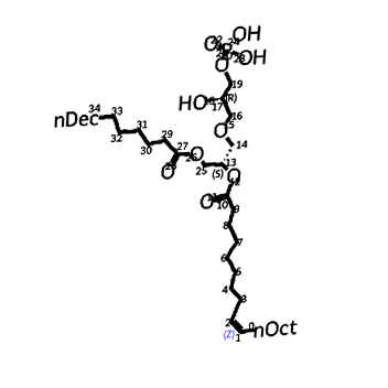 CCCCCCCC/C=C\CCCCCCCC(=O)O[C@@H](COC[C@@H](O)COP(=O)(O)O)COC(=O)CCCCCCCCCCCCCCC